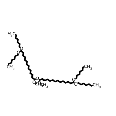 CCCCCCCOC(CCCCCCCCCCC=CC(OC)OC(C=CCCCCCCCCCCC(OCCCCCCC)OCCCCCCC)OC)OCCCCCCC